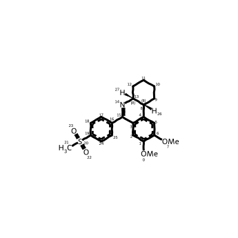 COc1cc2c(cc1OC)[C@H]1CCCC[C@H]1N=C2c1ccc(S(C)(=O)=O)cc1